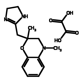 CN1CC(C)(CC2=NCCN2)Oc2ccccc21.O=C(O)C(=O)O